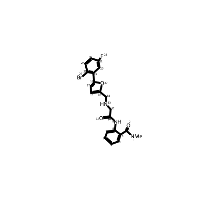 CNC(=O)c1ccccc1NC(=O)CNCc1ccc(-c2cc(F)ccc2Br)o1